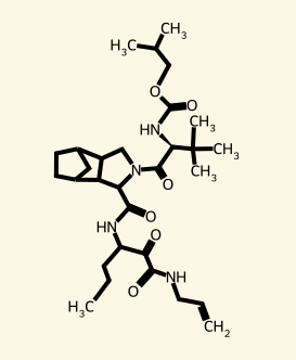 C=CCNC(=O)C(=O)C(CCC)NC(=O)C1C2C3CCC(C3)C2CN1C(=O)[C@@H](NC(=O)OCC(C)C)C(C)(C)C